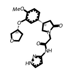 COc1ccc([C@@H]2CC(=O)N(CC(=O)Nc3cc[nH]n3)C2)cc1O[C@@H]1CCOC1